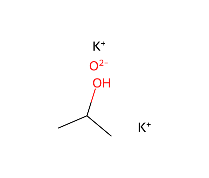 CC(C)O.[K+].[K+].[O-2]